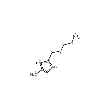 Cc1cnc(CSCCN)[nH]1